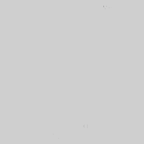 CCOC(=O)c1cc(Cl)c(OCc2ccc(OC)cc2)cc1O